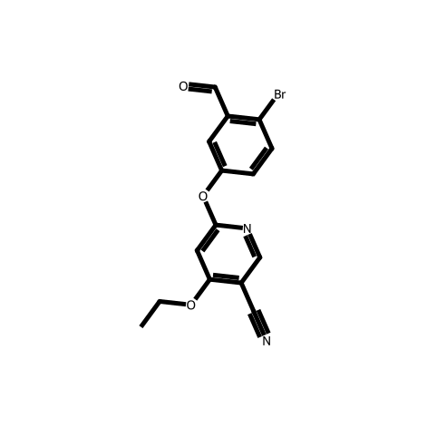 CCOc1cc(Oc2ccc(Br)c(C=O)c2)ncc1C#N